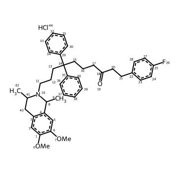 COc1cc2c(cc1OC)C(C)N(CCCC(CCCC(=O)CCc1ccc(F)cc1)(c1ccccc1)c1ccccc1)C(C)C2.Cl